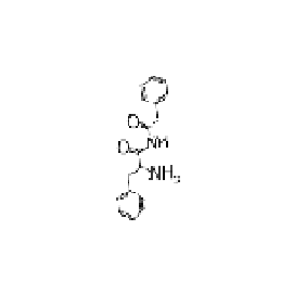 NC(Cc1ccccc1)C(=O)NC(=O)Cc1ccccc1